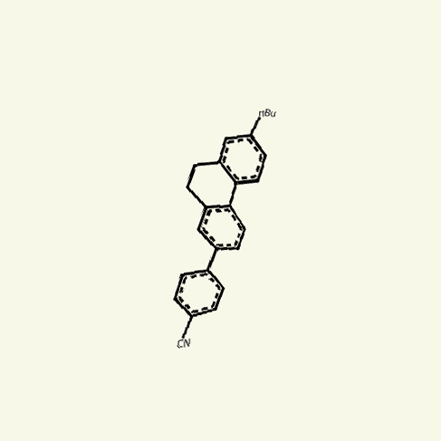 CCCCc1ccc2c(c1)CCc1cc(-c3ccc(C#N)cc3)ccc1-2